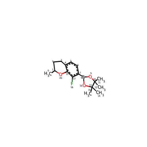 CC1CCc2ccc(B3OC(C)(C)C(C)(C)O3)c(F)c2O1